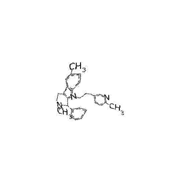 Cc1ccc2c(c1)c1c(n2CCc2ccc(C)nc2)C(c2ccccc2)N(C)CC1